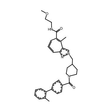 COCCNC(=O)C1=C(C)c2cn(CC3CCN(C(=O)c4ccc(-c5ccccc5C)cc4)CC3)nc2C=C=C1